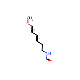 CO/C=C/C=C/CCNC=O